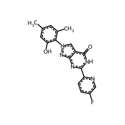 Cc1cc(C)c(-n2cc3c(=O)[nH]c(-c4ccc(F)cn4)nc3n2)c(O)c1